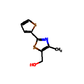 Cc1nc(-c2cccs2)sc1CO